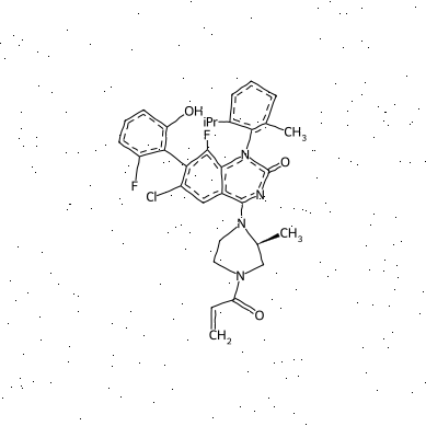 C=CC(=O)N1CCN(c2nc(=O)n(-c3c(C)cccc3C(C)C)c3c(F)c(-c4c(O)cccc4F)c(Cl)cc23)[C@@H](C)C1